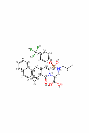 CCCN1CC(C(=O)O)n2c(c(-c3cccc(C(F)(F)F)c3)c(Cc3cccc4ccccc34)c(C3CC3)c2=O)S1(=O)=O